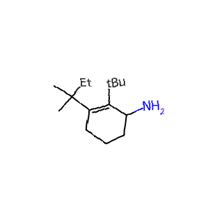 CCC(C)(C)C1=C(C(C)(C)C)C(N)CCC1